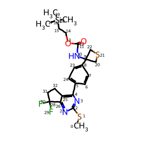 CSc1nc(-c2ccc(C3(NC(=O)OCC[Si](C)(C)C)CSC3)cc2)c2c(n1)C(F)(F)CC2